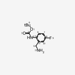 CC(C)(C)OC(=O)Nc1ccc(F)cc1CN